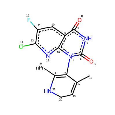 CCCC1=C(n2c(=O)[nH]c(=O)c3cc(F)c(Cl)nc32)C(C)=CCN1